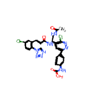 CC(=O)NCC(NC(=O)C=Cc1cc(Cl)ccc1-n1cnnn1)c1cc(-c2ccc(NC(=O)O)cc2)nnc1Cl